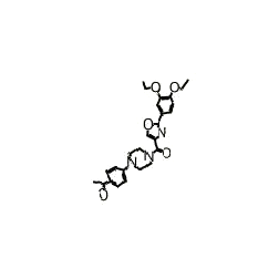 CCOc1ccc(-c2nc(C(=O)N3CCN(c4ccc(C(C)=O)cc4)CC3)co2)cc1OCC